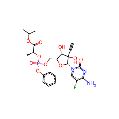 C#CC1(O)[C@@H](O)[C@@H](COP(=O)(Oc2ccccc2)O[C@@H](C)C(=O)OC(C)C)O[C@H]1n1cc(F)c(N)nc1=O